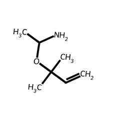 C=CC(C)(C)OC(C)N